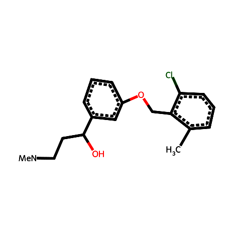 CNCCC(O)c1cccc(OCc2c(C)cccc2Cl)c1